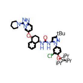 CC(C)[Si](Oc1ccc(-n2nc(C(C)(C)C)cc2NC(=O)N[C@H]2CC[C@@H](Oc3ccc4nnc(N5CCCCC5)n4c3)c3ccccc32)cc1Cl)(C(C)C)C(C)C